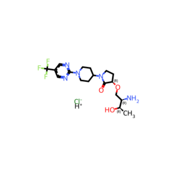 C[C@@H](O)[C@H](N)CO[C@@H]1CCN(C2CCN(c3ncc(C(F)(F)F)cn3)CC2)C1=O.[Cl-].[H+]